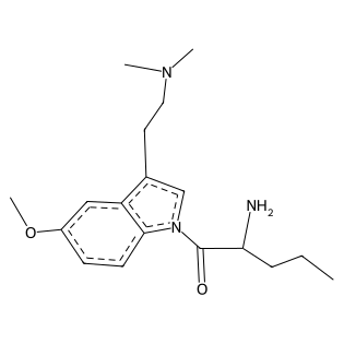 CCCC(N)C(=O)n1cc(CCN(C)C)c2cc(OC)ccc21